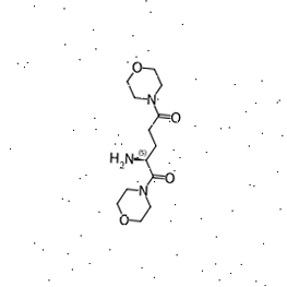 N[C@@H](CCC(=O)N1CCOCC1)C(=O)N1CCOCC1